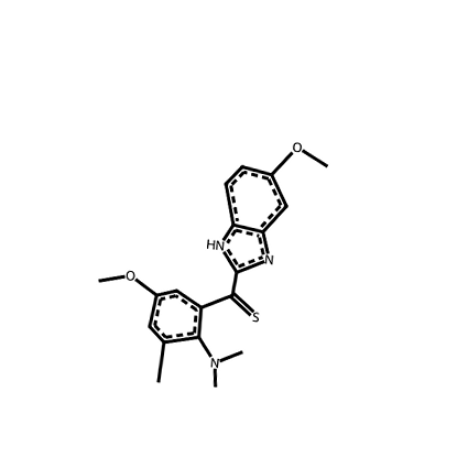 COc1cc(C)c(N(C)C)c(C(=S)c2nc3cc(OC)ccc3[nH]2)c1